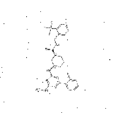 CNc1nc(N[C@@H]2CCC[C@H](C(=O)NCc3ccccc3C(F)(F)F)C2)nc(-c2ccccc2F)n1